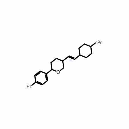 CCCC1CCC(/C=C/C2CCC(c3ccc(CC)cc3)OC2)CC1